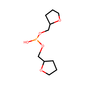 OP(OCC1CCCO1)OCC1CCCO1